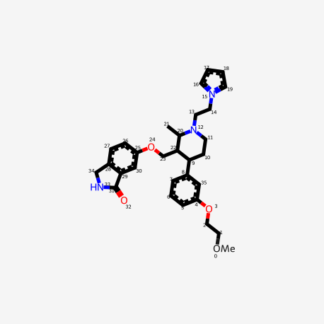 COCCOc1cccc(C2CCN(CCn3cccc3)C(C)C2COc2ccc3c(c2)C(=O)NC3)c1